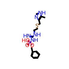 Cc1[nH]cnc1CSCCNC(=N)NP(=O)(O)OCc1ccccc1